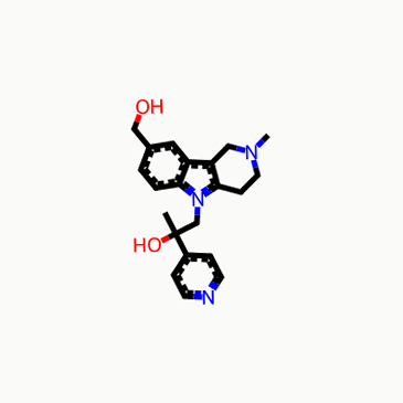 CN1CCc2c(c3cc(CO)ccc3n2CC(C)(O)c2ccncc2)C1